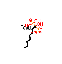 CCCCCCCC(O)(P(=O)(O)O)P(=O)(O)O.[CaH2].[CaH2]